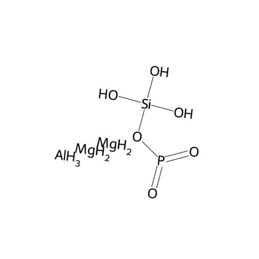 O=P(=O)O[Si](O)(O)O.[AlH3].[MgH2].[MgH2]